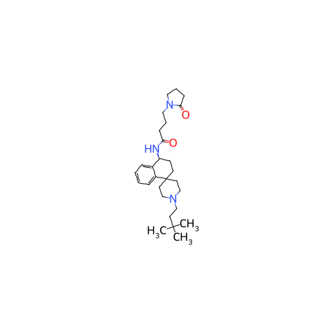 CC(C)(C)CCN1CCC2(CC[C@H](NC(=O)CCCN3CCCC3=O)c3ccccc32)CC1